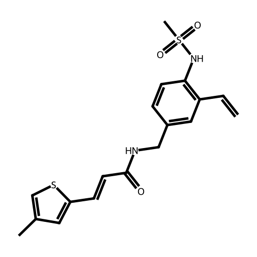 C=Cc1cc(CNC(=O)C=Cc2cc(C)cs2)ccc1NS(C)(=O)=O